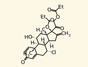 C=C1C[C@H]2[C@H]3[C@H]([C@H](O)C[C@]2(C)[C@]1(OC(=O)CC)C(=O)COC(=O)CC)[C@@]1(C)C=CC(=O)C=C1C[C@H]3Cl